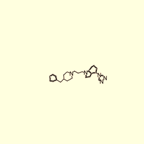 c1ccc(CC2CCN(CCCn3ccc4c(-n5cnnc5)cccc43)CC2)cc1